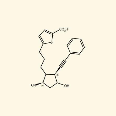 [C-]#[N+][C@@H]1CC(O)[C@H](C#Cc2ccccc2)C1CCCc1ccc(C(=O)O)s1